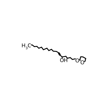 CCCCCCCCCCCCC#CC(O)CCCCCOC1CCCCO1